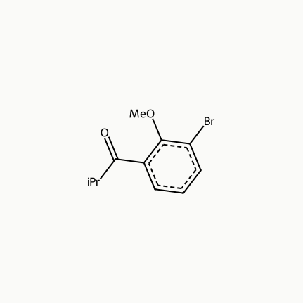 COc1c(Br)cccc1C(=O)C(C)C